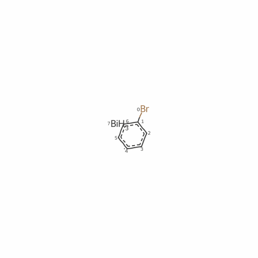 Brc1cc[c]cc1.[BiH3]